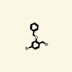 BrCc1ccc(Br)cc1OCc1ccccc1